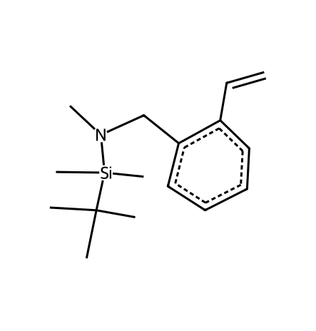 C=Cc1ccccc1CN(C)[Si](C)(C)C(C)(C)C